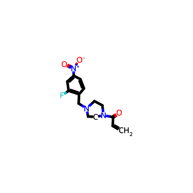 C=CC(=O)N1CCN(Cc2ccc([N+](=O)[O-])cc2F)CC1